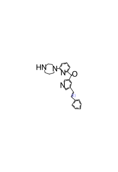 O=C(c1cncc(/C=C/c2ccccc2)c1)c1cccc(N2CCCNCC2)n1